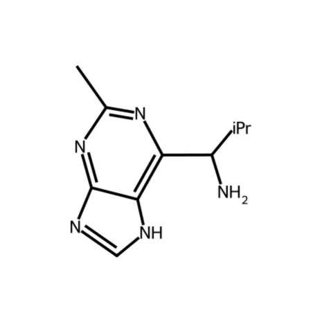 Cc1nc(C(N)C(C)C)c2[nH]cnc2n1